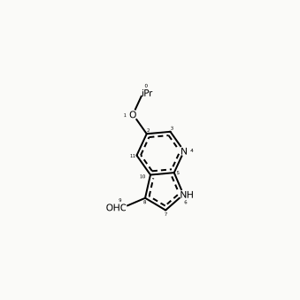 CC(C)Oc1cnc2[nH]cc(C=O)c2c1